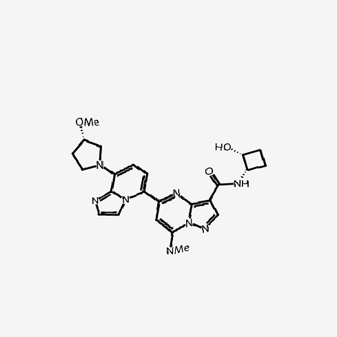 CNc1cc(-c2ccc(N3CC[C@H](OC)C3)c3nccn23)nc2c(C(=O)N[C@H]3CC[C@H]3O)cnn12